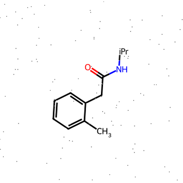 Cc1ccccc1CC(=O)NC(C)C